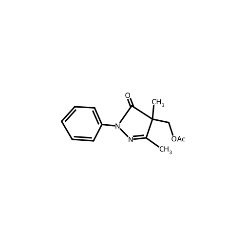 CC(=O)OCC1(C)C(=O)N(c2ccccc2)N=C1C